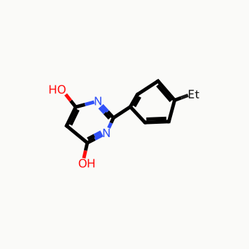 CCc1ccc(-c2nc(O)cc(O)n2)cc1